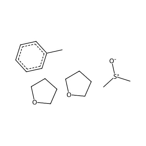 C1CCOC1.C1CCOC1.C[S+](C)[O-].Cc1ccccc1